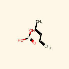 C=CC=CC.[O]=[Ti]([OH])[OH]